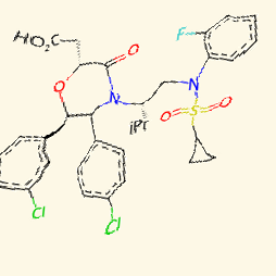 CC(C)[C@@H](CN(c1ccccc1F)S(=O)(=O)C1CC1)N1C(=O)[C@@H](CC(=O)O)O[C@H](c2cccc(Cl)c2)C1c1ccc(Cl)cc1